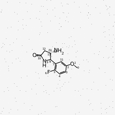 COc1ccc(F)c(C2NC(=O)C[C@@H]2N)c1